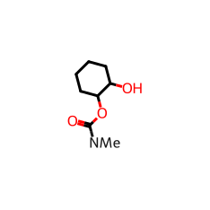 CNC(=O)OC1CCCCC1O